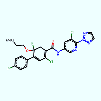 COCCOC1(F)CC(C(=O)Nc2cnc(-n3nccn3)c(Cl)c2)=C(Cl)C=C1c1ccc(F)cc1